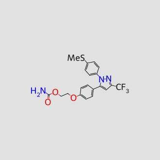 CSc1ccc(-n2nc(C(F)(F)F)cc2-c2ccc(OCCOC(N)=O)cc2)cc1